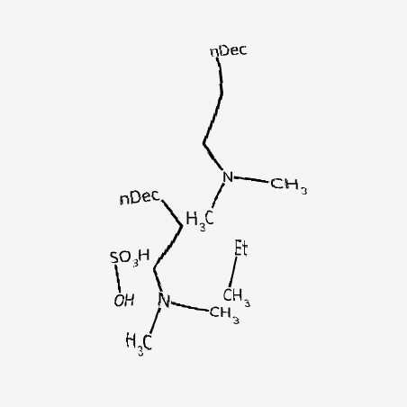 CCC.CCCCCCCCCCCCN(C)C.CCCCCCCCCCCCN(C)C.O=S(=O)(O)O